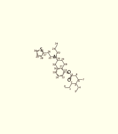 CCCC(CC)C(C)CC(=O)Oc1cccc2c1CCC(N(CCC)CCc1cccs1)C2